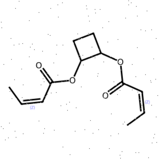 C/C=C\C(=O)OC1CCC1OC(=O)/C=C\C